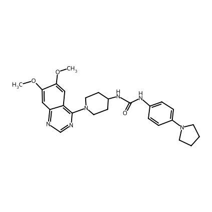 COc1cc2ncnc(N3CCC(NC(=O)Nc4ccc(N5CCCC5)cc4)CC3)c2cc1OC